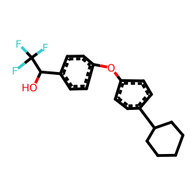 OC(c1ccc(Oc2ccc(C3CCCCC3)cc2)cc1)C(F)(F)F